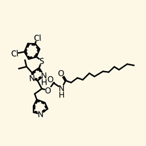 CCCCCCCCCCCC(=O)NC(=O)OC(Cc1ccncc1)c1nc(C(C)C)c(Sc2cc(Cl)cc(Cl)c2)[nH]1